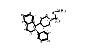 CC(C)(C)OC(=O)N1CCC(C2c3ccccc3CCN2c2ccccc2)CC1